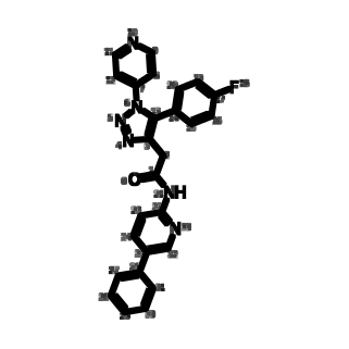 O=C(Cc1nnn(-c2ccncc2)c1-c1ccc(F)cc1)Nc1ccc(-c2ccccc2)cn1